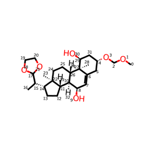 COCO[C@@H]1CC2=C[C@@H](O)[C@H]3[C@@H]4CC[C@H](C(C)C5OCCO5)[C@@]4(C)CC[C@@H]3[C@@]2(C)[C@@H](O)C1